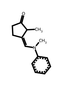 CC1C(=O)CCC1=CN(C)c1ccccc1